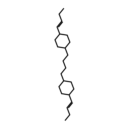 CCC=CC1CCC(CCCCC2CCC(C=CCC)CC2)CC1